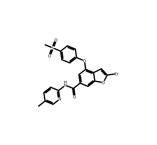 CCc1cc2c(Oc3ccc(S(C)(=O)=O)cc3)cc(C(=O)Nc3ccc(C)cn3)cc2o1